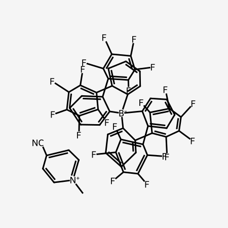 C[n+]1ccc(C#N)cc1.Fc1c(F)c(F)c(-c2ccccc2[B-](c2ccccc2-c2c(F)c(F)c(F)c(F)c2F)(c2ccccc2-c2c(F)c(F)c(F)c(F)c2F)c2ccccc2-c2c(F)c(F)c(F)c(F)c2F)c(F)c1F